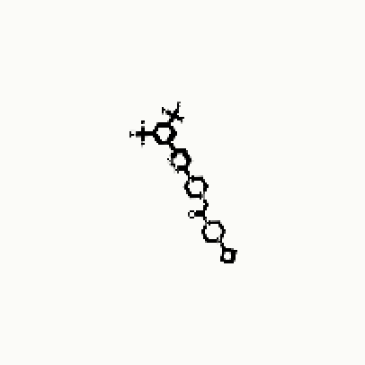 O=C(CN1CCN(c2ccc(-c3cc(C(F)(F)F)cc(C(F)(F)F)c3)nn2)CC1)N1CCN(C2CCC2)CC1